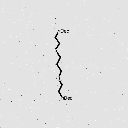 CCCCCCCCCCCCOC[CH]CSCCCCCCCCCCCC